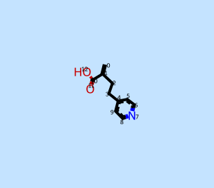 C=C(CCc1ccncc1)C(=O)O